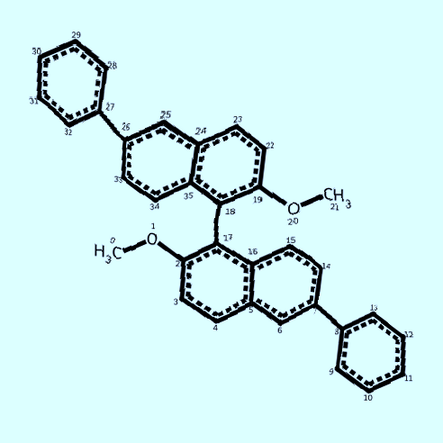 COc1ccc2cc(-c3ccccc3)ccc2c1-c1c(OC)ccc2cc(-c3ccccc3)ccc12